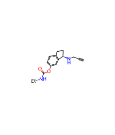 C#CCN[C@@H]1CCc2ccc(OC(=O)NCC)cc21